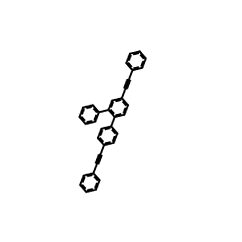 C(#Cc1ccc(-c2ccc(C#Cc3ccccc3)cc2-c2ccccc2)cc1)c1ccccc1